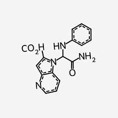 NC(=O)C(Nc1ccccc1)n1c(C(=O)O)cc2ncccc21